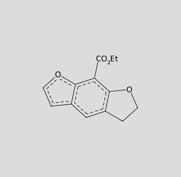 CCOC(=O)c1c2c(cc3ccoc13)CCO2